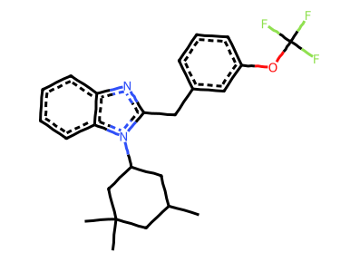 CC1CC(n2c(Cc3cccc(OC(F)(F)F)c3)nc3ccccc32)CC(C)(C)C1